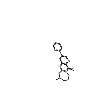 CC1CCCn2c(nc3cc(-c4ccccn4)cnc3c2=O)C1